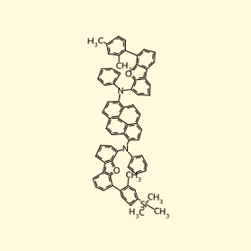 Cc1ccc(-c2cccc3c2oc2c(N(c4ccccc4)c4ccc5ccc6c(N(c7ccccc7)c7cccc8c7oc7c(-c9ccc([Si](C)(C)C)cc9C)cccc78)ccc7ccc4c5c76)cccc23)c(C)c1